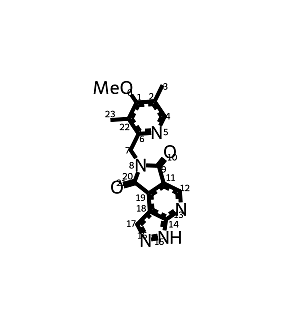 COc1c(C)cnc(CN2C(=O)c3cnc4[nH]ncc4c3C2=O)c1C